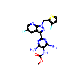 COC(=O)Nc1c(N)nc(-c2nn(Cc3sccc3F)c3ncc(F)cc23)nc1N